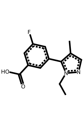 CCn1ncc(C)c1-c1cc(F)cc(C(=O)O)c1